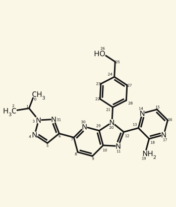 CC(C)n1ncc(-c2ccc3nc(-c4nccnc4N)n(-c4ccc(CO)cc4)c3n2)n1